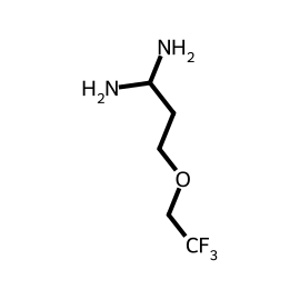 NC(N)CCOCC(F)(F)F